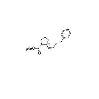 COC(=O)C1CCC[C@H]1/C=C\CCc1ccccc1